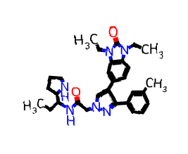 CCC(NC(=O)Cn1cc(-c2ccc3c(c2)n(CC)c(=O)n3CC)c(-c2cccc(C)c2)n1)C1CCCN1